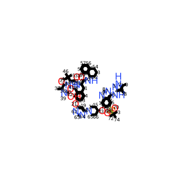 Cc1[nH]nc(Nc2ncnc3cc(OC4CCN(c5cc(Oc6ccc7c(c6)CN(C(=O)C(NC(=O)C(C)N(C)C(=O)O)C(C)(C)C)C(C(=O)N[C@@H]6CCCc8ccccc86)C7)ncn5)CC4)c(S(=O)(=O)C(C)(C)C)cc23)c1C